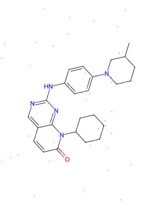 CC1CCCN(c2ccc(Nc3ncc4ccc(=O)n(C5CCCCC5)c4n3)cc2)C1